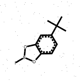 CC(C)(C)c1ccc2c(c1)OB(I)O2